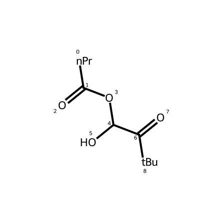 CCCC(=O)OC(O)C(=O)C(C)(C)C